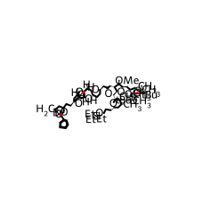 C=C(Br)CC(CC[C@@]12C[C@H]3OC4[C@@H](O[C@H]5CC[C@H](CC(=O)C[C@@H]6[C@@H](OC)[C@@H](CC(CO[Si](C)(C)C(C)(C)C)O[Si](C)(C)C(C)(C)C)O[C@H]6C[C@H]6O[C@@H](CCCO[Si](CC)(CC)CC)C[C@@H](C)C6=C)O[C@@H]5[C@@H]4O1)[C@H]3O2)OC(=O)c1ccccc1